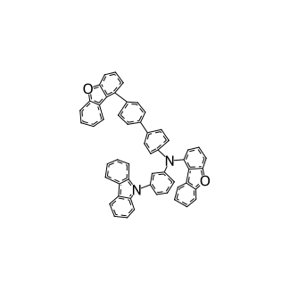 c1cc(N(c2ccc(-c3ccc(-c4cccc5oc6ccccc6c45)cc3)cc2)c2cccc3oc4ccccc4c23)cc(-n2c3ccccc3c3ccccc32)c1